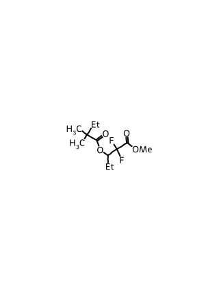 CCC(OC(=O)C(C)(C)CC)C(F)(F)C(=O)OC